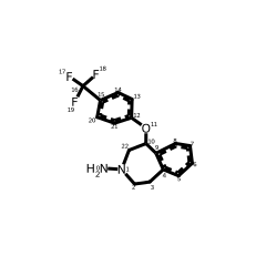 NN1CCc2ccccc2C(Oc2ccc(C(F)(F)F)cc2)C1